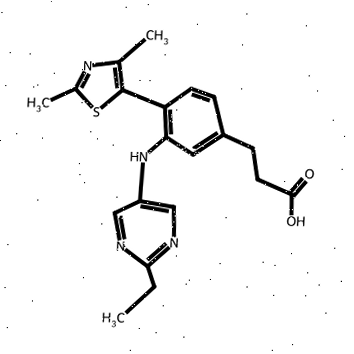 CCc1ncc(Nc2cc(CCC(=O)O)ccc2-c2sc(C)nc2C)cn1